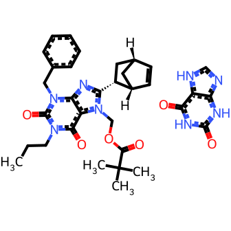 CCCn1c(=O)c2c(nc([C@@H]3C[C@@H]4C=C[C@H]3C4)n2COC(=O)C(C)(C)C)n(Cc2ccccc2)c1=O.O=c1[nH]c(=O)c2[nH]cnc2[nH]1